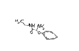 CCNC(=O)C(N)Oc1ccccc1